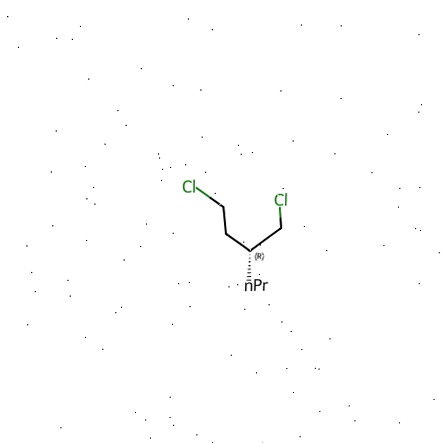 CCC[C@@H](CCl)CCCl